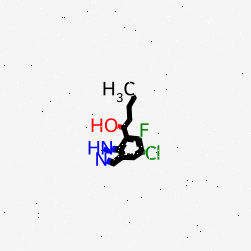 CCCCC(O)c1c(F)c(Cl)cc2cn[nH]c12